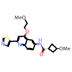 COCCOc1cc(-c2cncs2)nc2ccc(NC(=O)[C@H]3C[C@H](OC)C3)cc12